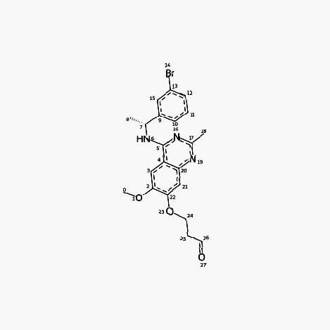 COc1cc2c(N[C@H](C)c3cccc(Br)c3)nc(C)nc2cc1OCCC=O